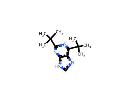 CC(C)(C)c1nc(C(C)(C)C)c2nc[nH]c2n1